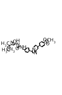 CCC(C)(CC)c1cc(NC(=O)NCc2ccc(-c3cnc4cc(-c5ccc(S(C)(=O)=O)cc5)ccn34)cc2)on1